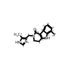 Cc1[nH]cnc1CN1CCc2[nH]c3c(F)cccc3c2C1=O